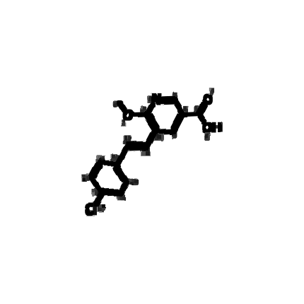 COc1ncc(C(=O)O)cc1C=Cc1ccc(Cl)cc1